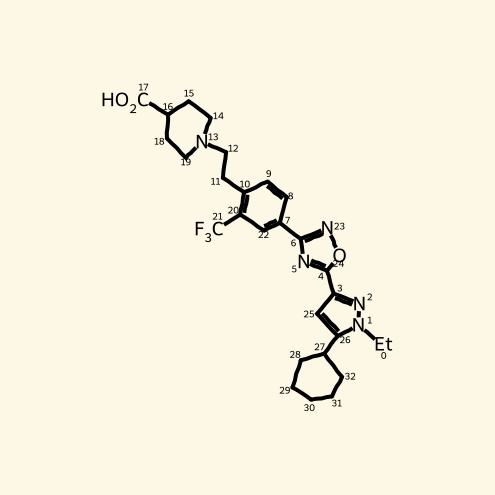 CCn1nc(-c2nc(-c3ccc(CCN4CCC(C(=O)O)CC4)c(C(F)(F)F)c3)no2)cc1C1CCCCC1